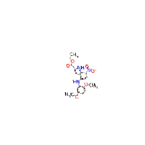 CCOC(=O)c1cc2c(Nc3cc(OC)ccc3OC)ccc([N+](=O)[O-])c2[nH]1